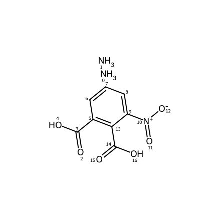 N.N.O=C(O)c1cccc([N+](=O)[O-])c1C(=O)O